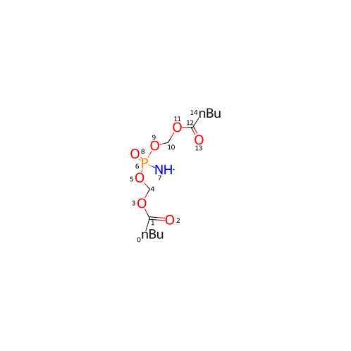 CCCCC(=O)OCOP([NH])(=O)OCOC(=O)CCCC